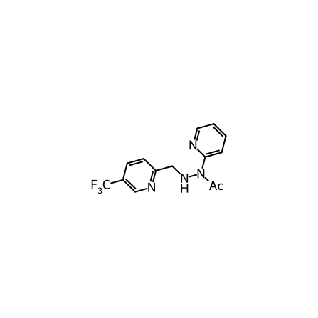 CC(=O)N(NCc1ccc(C(F)(F)F)cn1)c1ccccn1